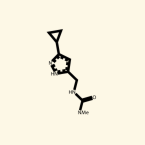 CNC(=O)NCc1cc(C2CC2)n[nH]1